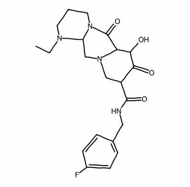 CCN1CCCN2C(=O)C3C(O)C(=O)C(C(=O)NCc4ccc(F)cc4)CN3CC12